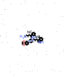 N#Cc1cccc2[nH]cc(CCCN)c12.N#Cc1cccc2[nH]cc(CCCN3CCN(c4ccc5c(c4)OCCO5)CC3)c12